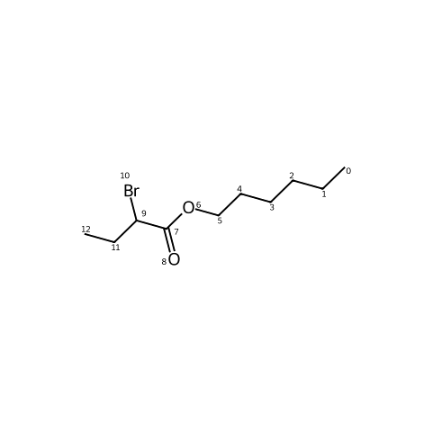 CCCCCCOC(=O)C(Br)CC